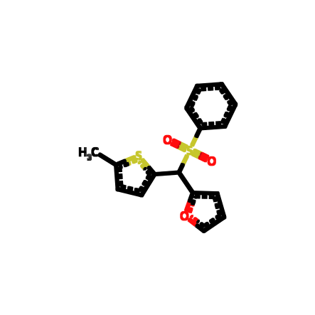 Cc1ccc(C(c2ccco2)S(=O)(=O)c2ccccc2)s1